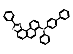 c1ccc(-c2ccc(N(c3ccccc3)c3cccc4c3ccc3ccc5oc(-c6ccccc6)nc5c34)cc2)cc1